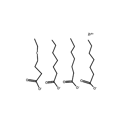 CCCCCCC(=O)[O-].CCCCCCC(=O)[O-].CCCCCCC(=O)[O-].CCCCCCC(=O)[O-].[Zr+4]